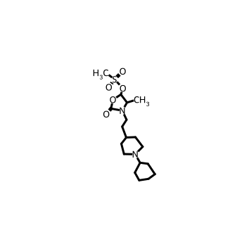 CC1C(OS(C)(=O)=O)OC(=O)N1CCC1CCN(C2CCCCC2)CC1